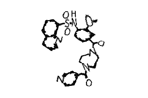 COc1cc(C(=O)N2CCN(C(=O)c3ccncc3)CC2)ccc1NS(=O)(=O)c1cccc2cccnc12